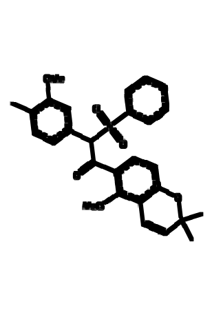 COc1cc(C(C(=O)c2ccc3c(c2OC)C=CC(C)(C)O3)S(=O)(=O)c2ccccc2)ccc1C